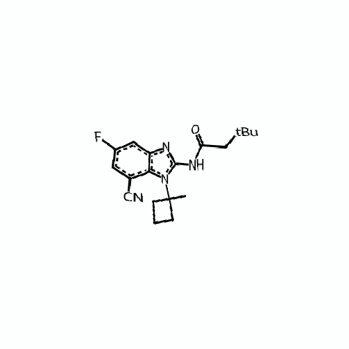 CC(C)(C)CC(=O)Nc1nc2cc(F)cc(C#N)c2n1C1(C)CCC1